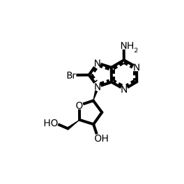 Nc1ncnc2c1nc(Br)n2[C@H]1CC(O)[C@@H](CO)O1